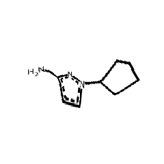 Nc1ccn(C2CCCC2)n1